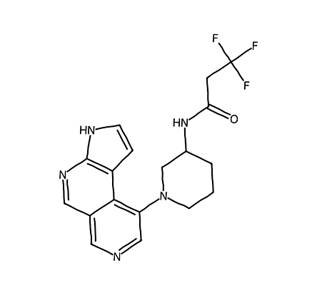 O=C(CC(F)(F)F)NC1CCCN(c2cncc3cnc4[nH]ccc4c23)C1